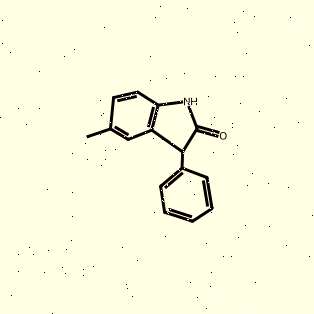 Cc1ccc2c(c1)C(c1ccccc1)C(=O)N2